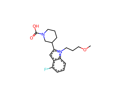 COCCCn1c(C2CCCN(C(=O)O)C2)cc2c(F)cccc21